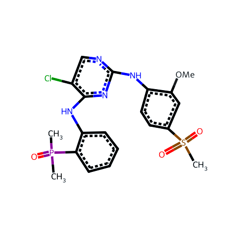 COc1cc(S(C)(=O)=O)ccc1Nc1ncc(Cl)c(Nc2ccccc2P(C)(C)=O)n1